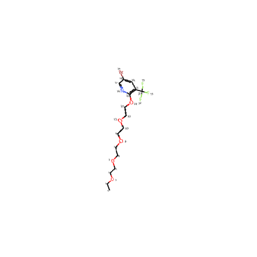 CCOCCOCCOCCOCCOc1ncc(Br)cc1C(F)(F)F